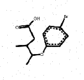 CC(CC(=O)O)C(C)Oc1ccc(Br)cc1